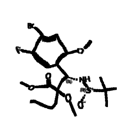 CCC(OC)(C(=O)OC)[C@@H](N[S@@+]([O-])C(C)(C)C)c1cc(F)c(Br)cc1OC